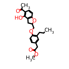 CCCc1cc(CC(=O)OC)ccc1OCC1Cc2c(ccc(C(C)=O)c2O)O1